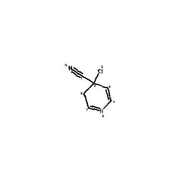 N#CC1(Cl)C=CN=CC1